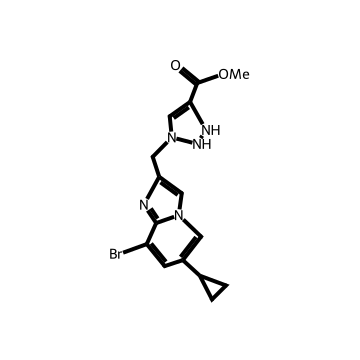 COC(=O)C1=CN(Cc2cn3cc(C4CC4)cc(Br)c3n2)NN1